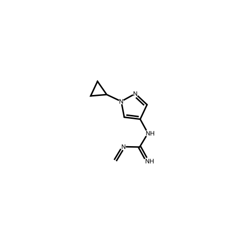 C=NC(=N)Nc1cnn(C2CC2)c1